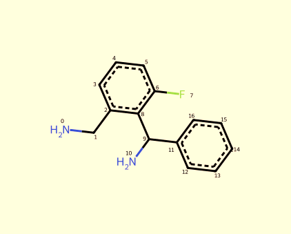 NCc1cccc(F)c1C(N)c1cc[c]cc1